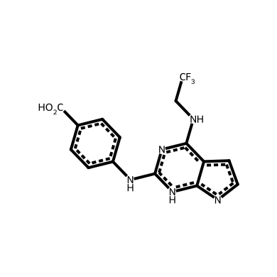 O=C(O)c1ccc(Nc2nc(NCC(F)(F)F)c3ccnc-3[nH]2)cc1